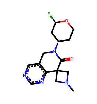 CN1CC2(C1)C(=O)N([C@@H]1CCO[C@H](F)C1)Cc1cncnc12